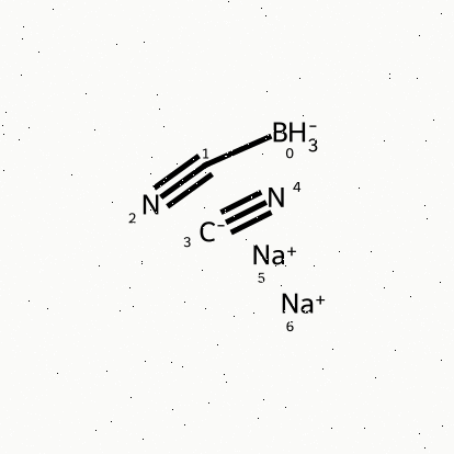 [BH3-]C#N.[C-]#N.[Na+].[Na+]